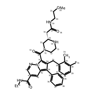 CCNC(=O)c1cnn2c(C(=O)N3CCN[C@@H](CC(=O)NCCOC)C3)c(Cc3cccc(F)c3C)c(-c3ccccc3)c2c1